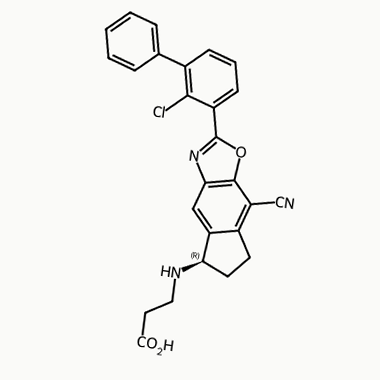 N#Cc1c2c(cc3nc(-c4cccc(-c5ccccc5)c4Cl)oc13)[C@H](NCCC(=O)O)CC2